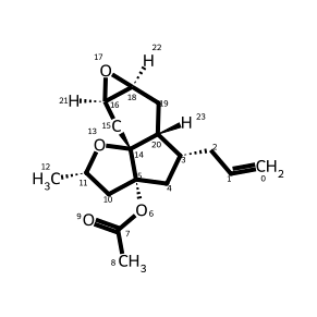 C=CC[C@@H]1C[C@@]2(OC(C)=O)C[C@H](C)O[C@@]23C[C@H]2O[C@H]2C[C@H]13